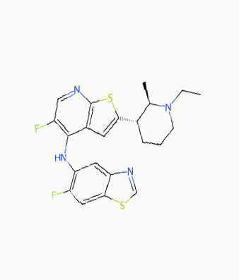 CCN1CCC[C@H](c2cc3c(Nc4cc5ncsc5cc4F)c(F)cnc3s2)[C@H]1C